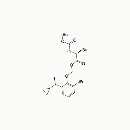 CCC(C)[C@H](NC(=O)OC(C)(C)C)C(=O)OCOc1c(C(C)C)cccc1[C@H](C)C1CC1